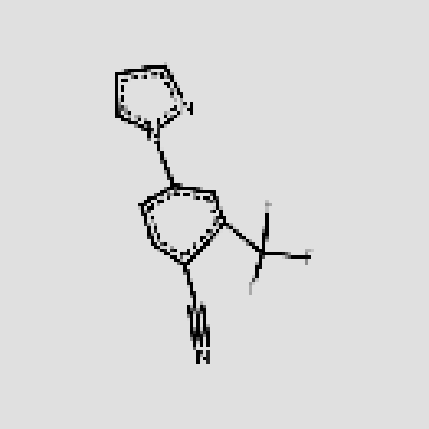 N#Cc1ccc(-n2cccn2)cc1C(F)(F)F